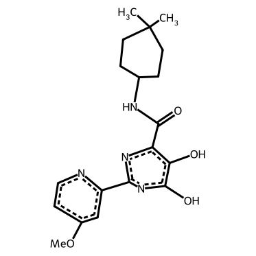 COc1ccnc(-c2nc(O)c(O)c(C(=O)NC3CCC(C)(C)CC3)n2)c1